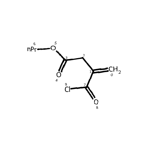 C=C(CC(=O)OCCC)C(=O)Cl